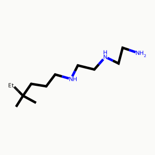 CCC(C)(C)CCCNCCNCCN